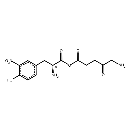 NCC(=O)CCC(=O)OC(=O)[C@@H](N)Cc1ccc(O)c([N+](=O)[O-])c1